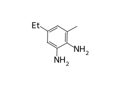 CCc1cc(C)c(N)c(N)c1